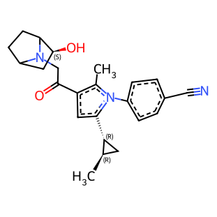 Cc1c(C(=O)CN2C3CCC2[C@@H](O)C3)cc([C@@H]2C[C@H]2C)n1-c1ccc(C#N)cc1